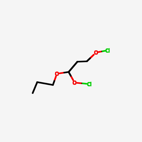 CCCOC(CCOCl)OCl